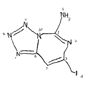 Nc1nc(I)cc2nnnn12